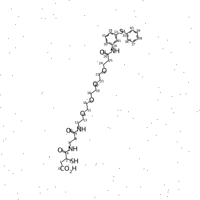 O=C(O)CC(S)C(=O)NCCC(=O)NCCOCCOCCOCCOCCC(=O)Nc1cccc(Sc2ccccc2)c1